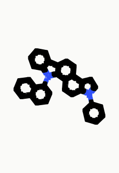 c1ccc(-n2ccc3c4ccc5c6ccccc6n(-c6cccc7ccccc67)c5c4ccc32)cc1